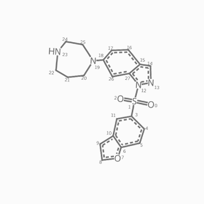 O=S(=O)(c1ccc2occc2c1)n1ncc2ccc(N3CCCNCC3)cc21